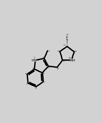 Cc1[nH]c2ccccc2c1CC1C[C@H](F)CN1